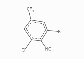 [C-]#[N+]c1c(Cl)cc(C(F)(F)F)cc1Br